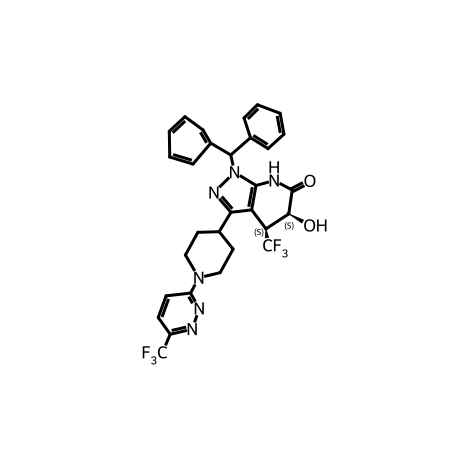 O=C1Nc2c(c(C3CCN(c4ccc(C(F)(F)F)nn4)CC3)nn2C(c2ccccc2)c2ccccc2)[C@H](C(F)(F)F)[C@@H]1O